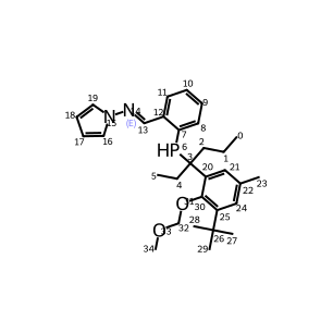 CCCC(CC)(Pc1ccccc1/C=N/n1cccc1)c1cc(C)cc(C(C)(C)C)c1OCOC